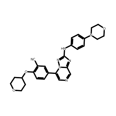 N#Cc1cc(-c2cncc3nc(Nc4ccc(N5CCOCC5)cc4)nn23)ccc1OC1CCOCC1